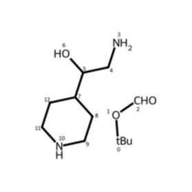 CC(C)(C)OC=O.NCC(O)C1CCNCC1